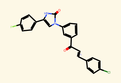 O=C(/C=C/c1ccc(Cl)cc1)c1cccc(-n2cc(-c3ccc(F)cc3)[nH]c2=O)c1